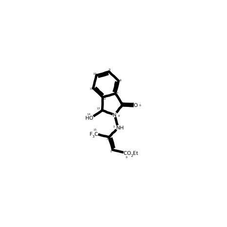 CCOC(=O)/C=C(\NN1C(=O)c2ccccc2C1O)C(F)(F)F